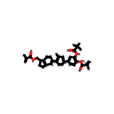 C=C(C)C(=O)OCC1CCc2cc(-c3ccc(-c4ccc(OC(=O)C(=C)C)c(OC(=O)C(C)(C)C)c4)cc3C)ccc21